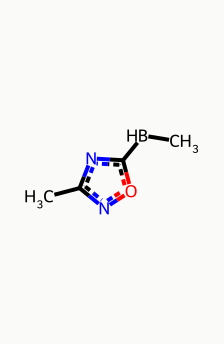 CBc1nc(C)no1